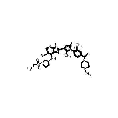 CCS(=O)(=O)N1CC[C@H](Nc2c(Br)cnc3[nH]c(-c4cc(C)n(-c5ccc(C(=O)N6CCN(C)CC6)cc5C)c4C)nc23)C1